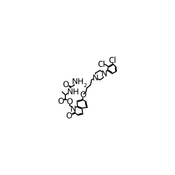 CC(NC(=O)CN)C(=O)OCn1c(=O)ccc2ccc(OCCCCN3CCN(c4cccc(Cl)c4Cl)CC3)cc21